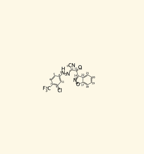 N#CC(=NNc1ccc(C(F)(F)F)c(Cl)c1)C(=O)c1noc2ccccc12